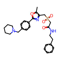 Cc1oc(-c2ccc(CN3CCCCC3)cc2)nc1CS(=O)(=O)CC(=O)NCCc1ccccc1